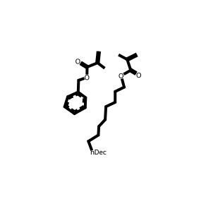 C=C(C)C(=O)OCCCCCCCCCCCCCCCCCC.C=C(C)C(=O)OCc1ccccc1